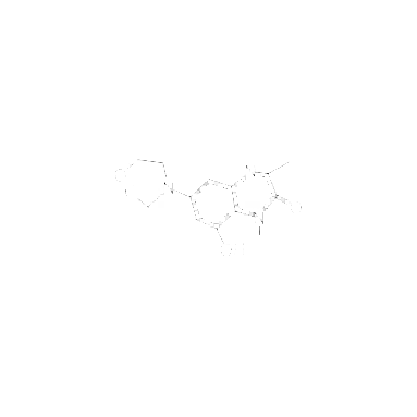 Cc1nc2cc(N3CCOCC3)cc(O)c2n(C)c1=O